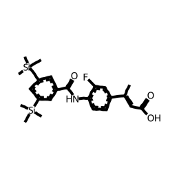 C/C(=C\C(=O)O)c1ccc(NC(=O)c2cc([Si](C)(C)C)cc([Si](C)(C)C)c2)c(F)c1